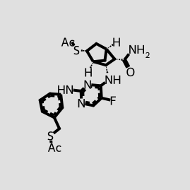 CC(=O)SCc1cccc(Nc2ncc(F)c(N[C@@H]3[C@@H]4C[C@@H](C[C@H]4SC(C)=O)[C@@H]3C(N)=O)n2)c1